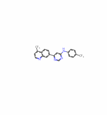 FC(F)(F)c1ccc(Nc2cc(-c3ccc4c(C(F)(F)F)ccnc4c3)ncn2)cc1